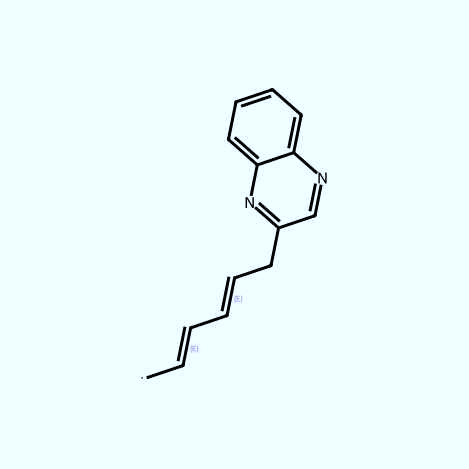 [CH2]/C=C/C=C/Cc1cnc2ccccc2n1